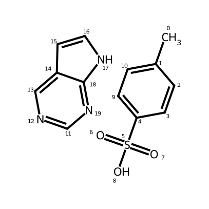 Cc1ccc(S(=O)(=O)O)cc1.c1ncc2cc[nH]c2n1